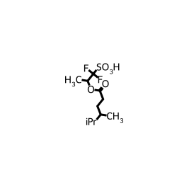 CC(C)C(C)CCC(=O)OC(C)C(F)(F)S(=O)(=O)O